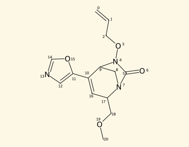 C=CCON1C(=O)N2CC1C(c1cnco1)=CC2COC